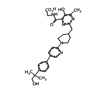 Cc1nc(CC2CCN(c3ccc(-c4ccc(C(C)(C)CO)cc4)cn3)CC2)nc(C(=O)NCC(=O)O)c1O